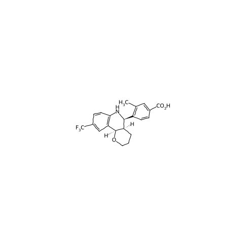 Cc1cc(C(=O)O)ccc1[C@@H]1Nc2ccc(C(F)(F)F)cc2[C@@H]2OCCC[C@H]12